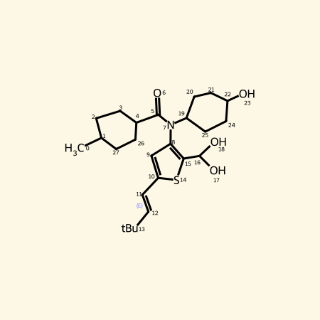 CC1CCC(C(=O)N(c2cc(/C=C/C(C)(C)C)sc2C(O)O)C2CCC(O)CC2)CC1